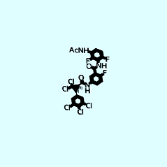 CC(=O)Nc1ccc(F)c(NC(=O)c2cc(NC(=O)[C@H]3[C@H](c4cc(Cl)c(Cl)c(Cl)c4)C3(Cl)Cl)ccc2F)c1F